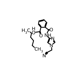 CCCCCC.N#CCn1cnc(NC(=O)c2ccccc2C(=O)O)c1